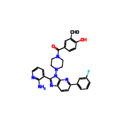 Nc1ncccc1-c1nc2ccc(-c3cccc(F)c3)nc2n1N1CCN(C(=O)c2ccc(O)c(C=O)c2)CC1